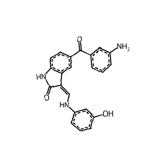 Nc1cccc(C(=O)c2ccc3c(c2)C(=CNc2cccc(O)c2)C(=O)N3)c1